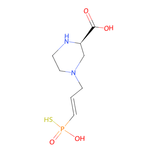 O=C(O)[C@H]1CN(C/C=C/P(=O)(O)S)CCN1